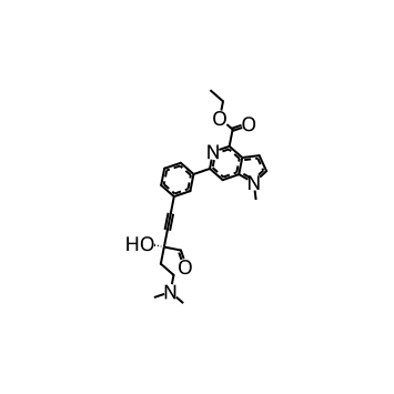 CCOC(=O)c1nc(-c2cccc(C#C[C@@](O)(C=O)CCN(C)C)c2)cc2c1ccn2C